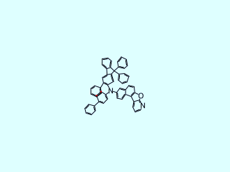 c1ccc(-c2ccc(N(c3ccc4c(ccc5oc6ncccc6c54)c3)c3cc4c(cc3-c3ccccc3)-c3ccccc3C4(c3ccccc3)c3ccccc3)cc2)cc1